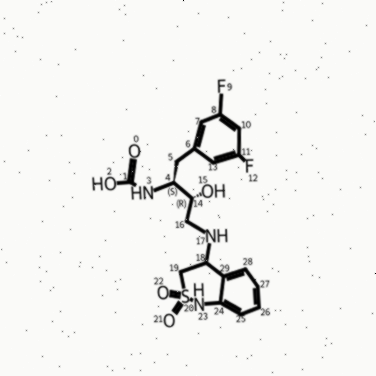 O=C(O)N[C@@H](Cc1cc(F)cc(F)c1)[C@H](O)CNC1CS(=O)(=O)Nc2ccccc21